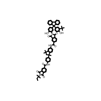 CCC(C)(C)N1C(=O)c2ccc(C(=O)Nc3ccc(C4(C)CC(C)(C)c5cc(NC(=O)c6ccc7c(c6)C(=O)N(c6cc(C8(c9ccc(O)c(C(C)(C)C)c9)c9ccccc9-c9ccccc98)ccc6O)C7=O)ccc54)cc3)cc2C1=O